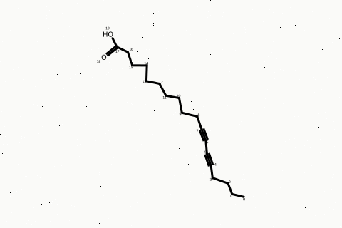 CCCCC#CC#CCCCCCCCCCC(=O)O